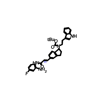 CC(C)(C)OC(=O)N(CCc1c[nH]c2ccccc12)C1CCc2cc(/C=C/C(=O)Nc3ccc(F)cc3N)ccc21